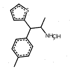 Cc1ccc(C(c2cccs2)C(C)N)cc1.Cl